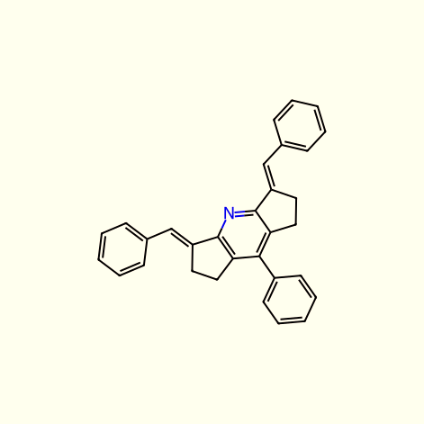 C(=C1CCc2c1nc1c(c2-c2ccccc2)CCC1=Cc1ccccc1)c1ccccc1